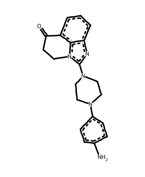 Nc1ccc(N2CCN(c3nc4cccc5c4n3CCC5=O)CC2)cc1